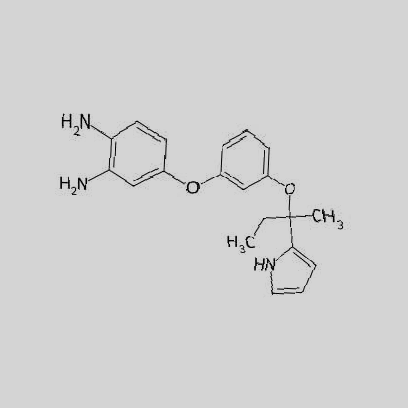 CCC(C)(Oc1cccc(Oc2ccc(N)c(N)c2)c1)c1ccc[nH]1